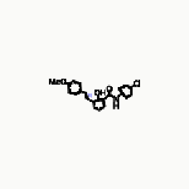 COc1ccc(/C=C/c2cccc(C(=O)Nc3ccc(Cl)cc3)c2O)cc1